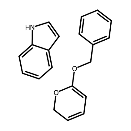 C1=CCOC(OCc2ccccc2)=C1.c1ccc2[nH]ccc2c1